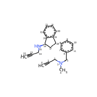 C#CCN(C)Cc1ccccc1.C#CCN[C@@H]1CCc2ccccc21